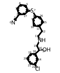 N#Cc1cccc(Sc2ccc(CCNC[C@@H](O)c3cccc(Cl)c3)cc2)c1